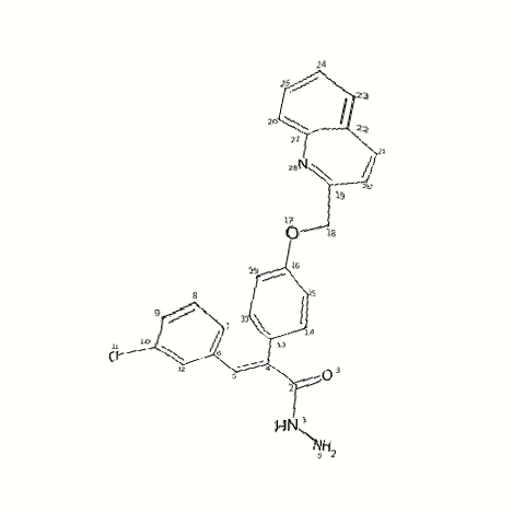 NNC(=O)/C(=C/c1cccc(Cl)c1)c1ccc(OCc2ccc3ccccc3n2)cc1